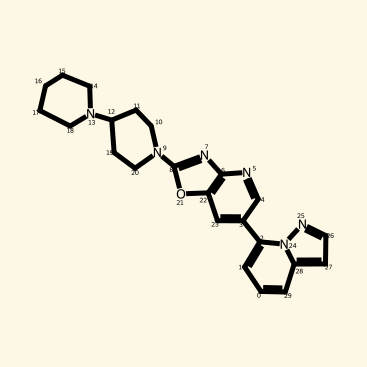 c1cc(-c2cnc3nc(N4CCC(N5CCCCC5)CC4)oc3c2)n2nccc2c1